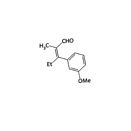 CC/C(=C(\C)C=O)c1cccc(OC)c1